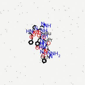 CCC(C)[C@H](NC(=O)[C@H](Cc1ccc(O)cc1)NC(=O)[C@@H](NC(=O)[C@H](CCCN/C(N)=N\[N+](=O)[O-])NC(=O)CN(C)C(=O)OCc1ccccc1)C(C)C)C(=O)N[C@@H](Cc1c[nH]cn1)C(=O)N1CCC[C@H]1C(=O)N[C@H](C)C(=O)OCc1ccccc1